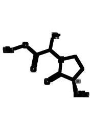 CN[C@@H]1CCN(C(C(=O)OC(C)(C)C)C(C)C)C1=O